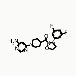 Nc1cc(N2CCC(C(=O)N3OCC[C@H]3c3cc(F)cc(F)c3)CC2)ncn1